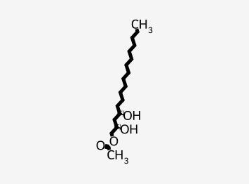 CCCCCCCCCCCCC[C@H](O)C[C@H](O)COC(C)=O